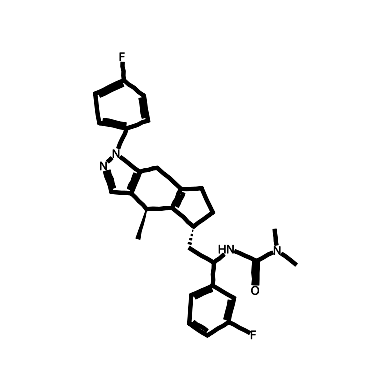 C[C@@H]1C2=C(CC[C@@H]2CC(NC(=O)N(C)C)c2cccc(F)c2)Cc2c1cnn2-c1ccc(F)cc1